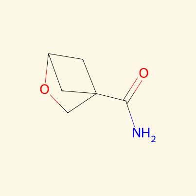 NC(=O)C12COC(C1)C2